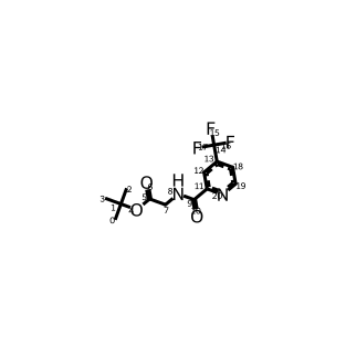 CC(C)(C)OC(=O)CNC(=O)c1cc(C(F)(F)F)ccn1